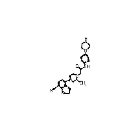 CC1CN(c2ccc(C#N)c3ncccc23)CCN1CC(=O)Nc1ccc(N2CCNCC2)cc1